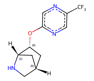 FC(F)(F)c1cnc(O[C@@H]2C[C@@H]3CN[C@H]2C3)cn1